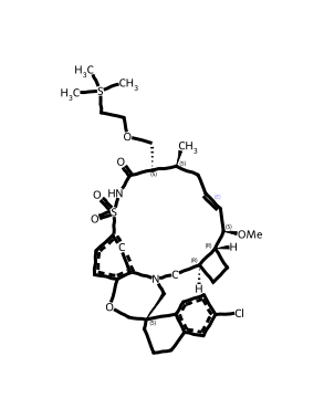 CO[C@@H]1/C=C/C[C@H](C)[C@@H](COCCS(C)(C)C)C(=O)NS(=O)(=O)c2ccc3c(c2)N(C[C@@H]2CC[C@H]21)C[C@@]1(CCCc2cc(Cl)ccc21)CO3